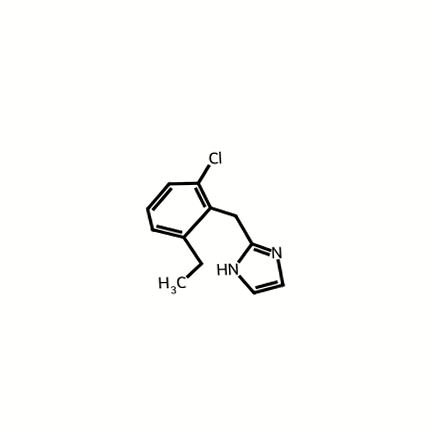 CCc1cccc(Cl)c1Cc1ncc[nH]1